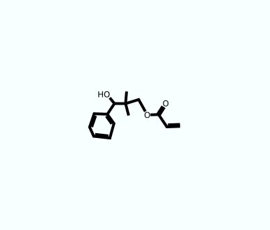 C=CC(=O)OCC(C)(C)C(O)c1ccccc1